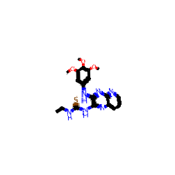 CCNC(=S)Nc1nc2cccnc2nc1Nc1cc(OC)c(OC)c(OC)c1